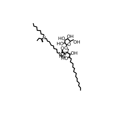 C=C(CC)N(CCCCCCC)CCCCCCCCn1nnn([C@@H](COC2OC(CO)C(O)C(O)C2O)[C@H](O)[C@H](O)CCCCCCCCCCCCCC)c1=O